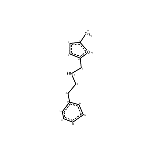 Cc1ccc(CNCCc2ccccc2)o1